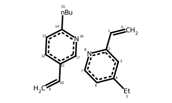 C=Cc1cc(CC)ccn1.C=Cc1ccc(CCCC)nc1